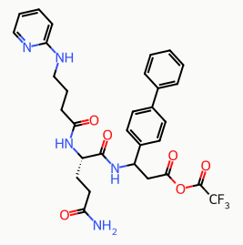 NC(=O)CC[C@H](NC(=O)CCCNc1ccccn1)C(=O)NC(CC(=O)OC(=O)C(F)(F)F)c1ccc(-c2ccccc2)cc1